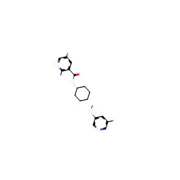 Cc1cncc(NC[C@H]2CC[C@H](NC(=O)c3cc(Cl)cnc3C)CC2)c1